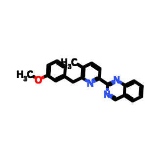 COc1cccc(Cc2nc(-c3ncc4ccccc4n3)ccc2C)c1